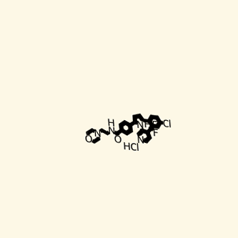 Cl.O=C(NCCN1CCOCC1)c1ccc(-c2ccc(-c3ccc(Cl)cc3)n2-c2cnccc2C(F)(F)F)cc1